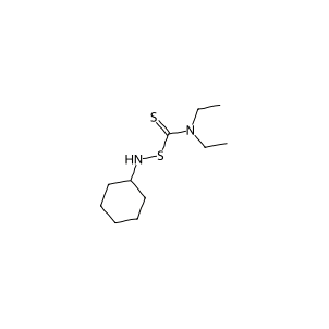 CCN(CC)C(=S)SNC1CCCCC1